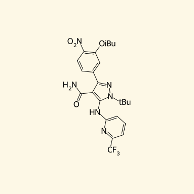 CC(C)COc1cc(-c2nn(C(C)(C)C)c(Nc3cccc(C(F)(F)F)n3)c2C(N)=O)ccc1[N+](=O)[O-]